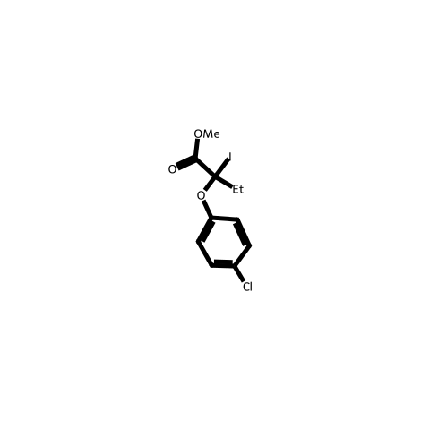 CCC(I)(Oc1ccc(Cl)cc1)C(=O)OC